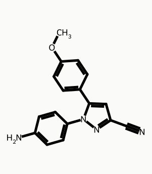 COc1ccc(-c2cc(C#N)nn2-c2ccc(N)cc2)cc1